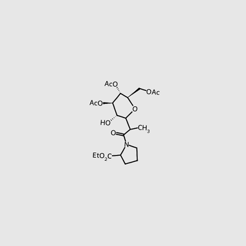 CCOC(=O)C1CCCN1C(=O)C(C)C1O[C@H](COC(C)=O)[C@@H](OC(C)=O)[C@H](OC(C)=O)[C@H]1O